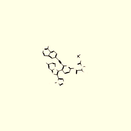 Cc1ccn2c(-c3ccc(NC(=O)C(C)N(C)C(=O)OC(C)(C)C)nc3C#Cc3ccc4c(C)nccc4c3)c(-c3cncn3C)nc2c1